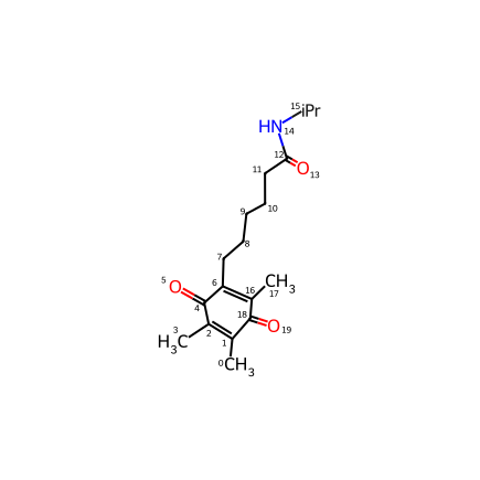 CC1=C(C)C(=O)C(CCCCCC(=O)NC(C)C)=C(C)C1=O